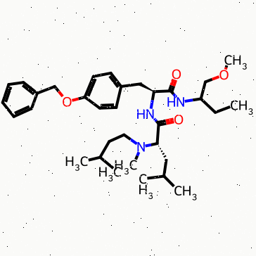 CCC(COC)NC(=O)[C@H](Cc1ccc(OCc2ccccc2)cc1)NC(=O)[C@H](CC(C)C)N(C)CCC(C)C